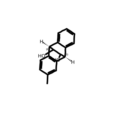 Cc1ccc2c(c1)[C@@H]1c3ccccc3[C@H]2C(O)C1O